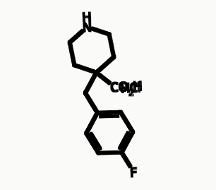 Cl.O=C(O)C1(Cc2ccc(F)cc2)CCNCC1